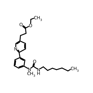 CCCCCCCNC(=O)N(C)c1cccc(-c2ccc(CCC(=O)OCC)cn2)c1